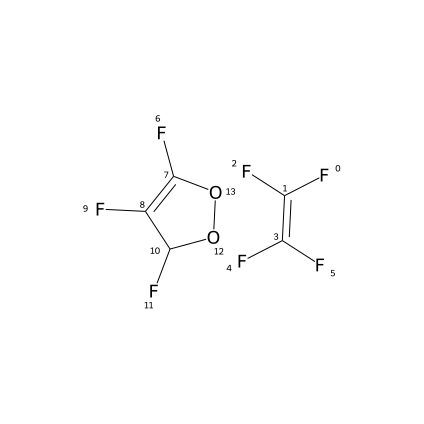 FC(F)=C(F)F.FC1=C(F)C(F)OO1